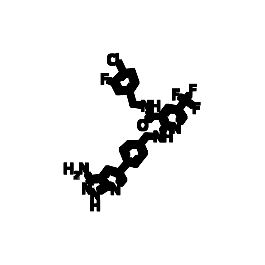 Nc1n[nH]c2ncc(-c3ccc(CNc4ncc(C(F)(F)F)cc4C(=O)NCc4ccc(Cl)c(F)c4)cc3)cc12